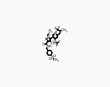 CCn1nc(C(=O)NCC2CCC(S(C)(=O)=O)CC2)c(C)c1-c1cnc(CC(C)C(F)(F)F)cc1OC(F)F